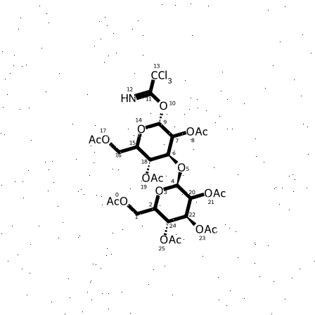 CC(=O)OCC1O[C@@H](O[C@@H]2C(OC(C)=O)[C@@H](OC(=N)C(Cl)(Cl)Cl)OC(COC(C)=O)[C@H]2OC(C)=O)C(OC(C)=O)[C@@H](OC(C)=O)[C@@H]1OC(C)=O